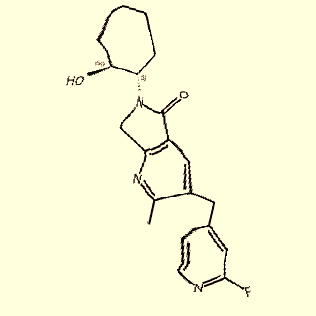 Cc1nc2c(cc1Cc1ccnc(F)c1)C(=O)N([C@H]1CCCC[C@@H]1O)C2